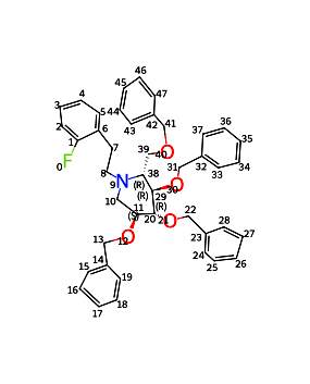 Fc1ccccc1CCN1C[C@H](OCc2ccccc2)[C@@H](OCc2ccccc2)[C@H](OCc2ccccc2)[C@H]1COCc1ccccc1